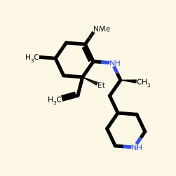 C=C[C@]1(CC)CC(C)CC(NC)=C1N[C@@H](C)CC1CCNCC1